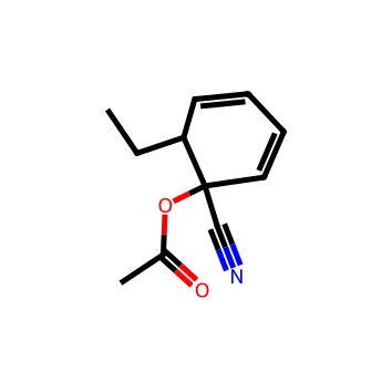 CCC1C=CC=CC1(C#N)OC(C)=O